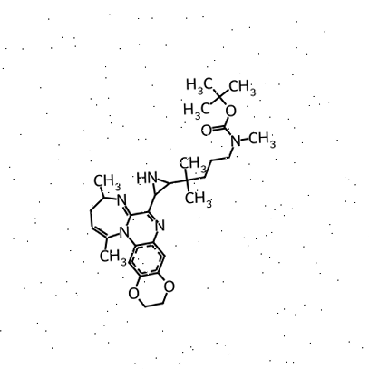 CC1=CCC(C)N=C2C(C3NC3C(C)(C)CCCN(C)C(=O)OC(C)(C)C)=Nc3cc4c(cc3N12)OCCO4